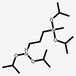 CC(C)O[SiH](CCC[Si](C)(OC(C)C)OC(C)C)OC(C)C